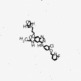 C=CC(=O)Nc1cc2c(Nc3ccc(OCc4cccc(F)n4)c(Cl)c3)ncnc2cc1OCCCN1C[C@H]2C[C@@H]1CO2